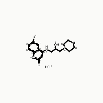 Cl.O=c1cc(NCC(O)CN2CCNCC2)c2cc(F)ccc2o1